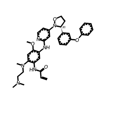 C=CC(=O)Nc1cc(Nc2cc(N3OCC[C@@H]3c3cccc(Oc4ccccc4)c3)ccn2)c(OC)cc1N(C)CCN(C)C